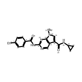 CCc1ccc(C(=O)Nc2ncc3c(C(=O)NC4CC4)cn(C(C)(C)C)c3n2)cc1